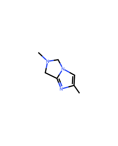 Cc1cn2c(n1)CN(C)C2